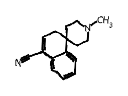 CN1CCC2(CC=C(C#N)c3ccccc32)CC1